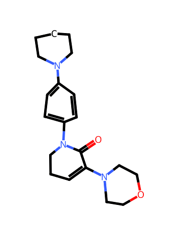 O=C1C(N2CCOCC2)=CCCN1c1ccc(N2CCCCC2)cc1